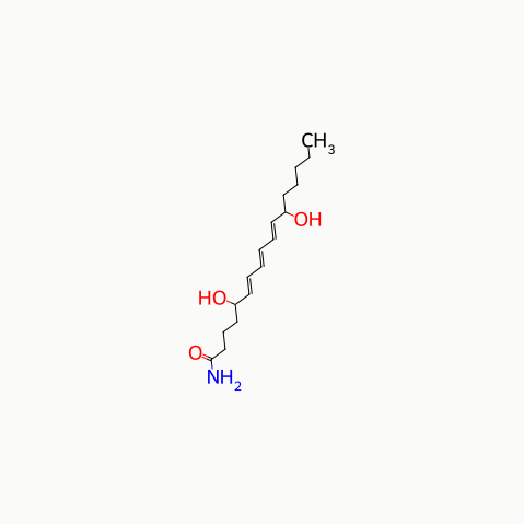 CCCCCC(O)C=CC=CC=CC(O)CCCC(N)=O